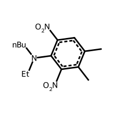 CCCCN(CC)c1c([N+](=O)[O-])cc(C)c(C)c1[N+](=O)[O-]